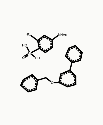 CC(=O)Nc1ccc([As](=O)(O)O)c(O)c1.c1ccc(COc2cccc(-c3ccccc3)c2)cc1